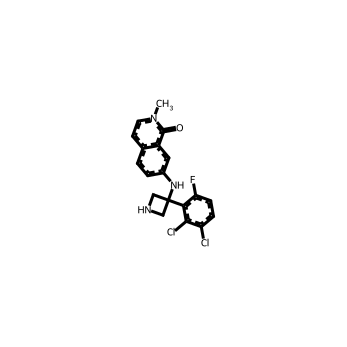 Cn1ccc2ccc(NC3(c4c(F)ccc(Cl)c4Cl)CNC3)cc2c1=O